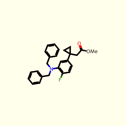 COC(=O)CC1(c2ccc(F)c(N(Cc3ccccc3)Cc3ccccc3)c2)CC1